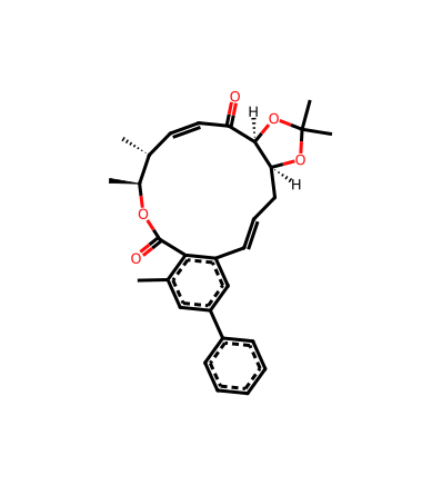 Cc1cc(-c2ccccc2)cc2c1C(=O)O[C@@H](C)[C@H](C)/C=C\C(=O)[C@H]1OC(C)(C)O[C@H]1C/C=C/2